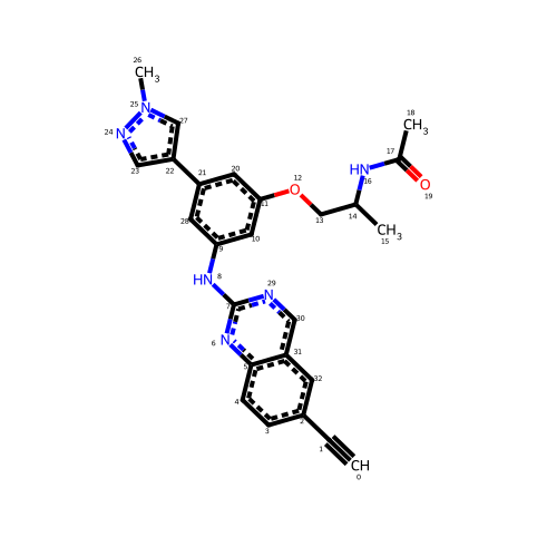 C#Cc1ccc2nc(Nc3cc(OCC(C)NC(C)=O)cc(-c4cnn(C)c4)c3)ncc2c1